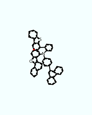 c1ccc(N(c2ccc(-c3cc4ccccc4c4ccccc34)cc2)c2cccc3oc4c5ccccc5ccc4c23)c(-c2cccc3c2sc2ccccc23)c1